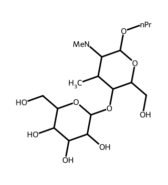 CCCOC1OC(CO)C(OC2OC(CO)C(O)C(O)C2O)C(C)C1NC